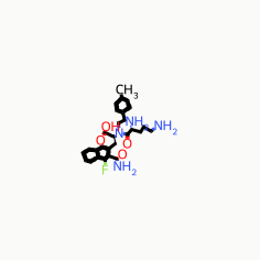 Cc1ccc(CCN(C(=O)[C@H](N)CCCN)[C@@H](Cc2cc3ccccc3c(F)c2C(N)=O)C(=O)O)cc1